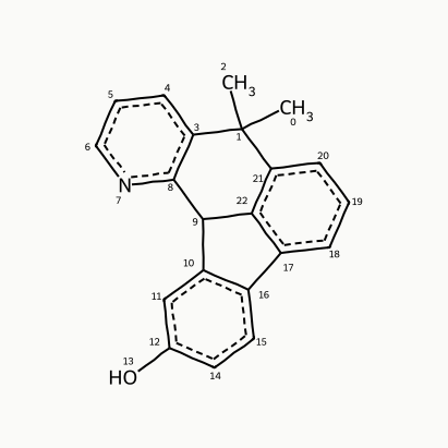 CC1(C)c2cccnc2C2c3cc(O)ccc3-c3cccc1c32